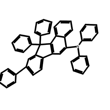 c1ccc(-c2ccc3c(c2)C(c2ccccc2)(c2ccccc2)c2c-3cc(N(c3ccccc3)c3ccccc3)c3ccccc23)cc1